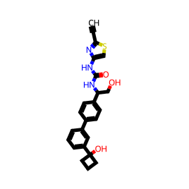 C#Cc1nc(NC(=O)NC(CO)c2ccc(-c3cccc(C4(O)CCC4)c3)cc2)cs1